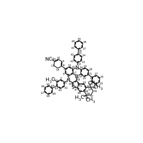 Cc1cc(N2c3cc(C4=CC=C(C#N)CC4)cc4c3B(c3cc(-c5ccccc5)ccc3N4c3ccc(-c4ccccc4)cc3)c3c2sc2cc4c(cc32)C(C)(C)CCC4(C)C)ccc1-c1ccccc1